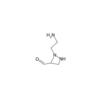 NCCN1NCC1C=O